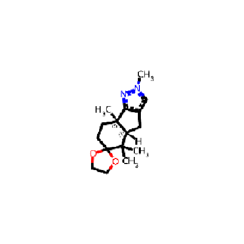 Cn1cc2c(n1)[C@@]1(C)CCC3(OCCO3)C(C)(C)[C@H]1C2